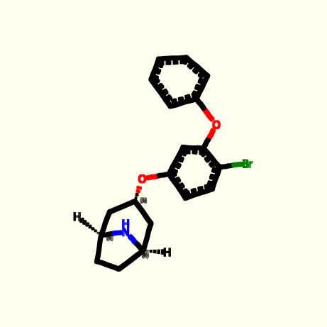 Brc1ccc(O[C@@H]2C[C@H]3CC[C@@H](C2)N3)cc1Oc1ccccc1